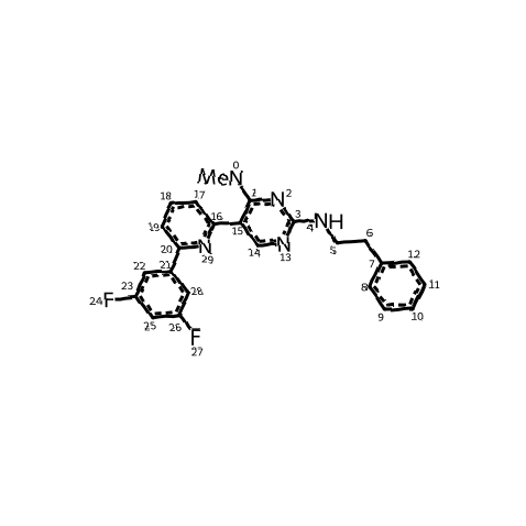 CNc1nc(NCCc2ccccc2)ncc1-c1cccc(-c2cc(F)cc(F)c2)n1